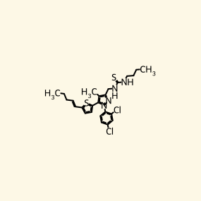 CCCC=Cc1ccc(-c2c(C)c(CNC(=S)NCCCC)nn2-c2ccc(Cl)cc2Cl)s1